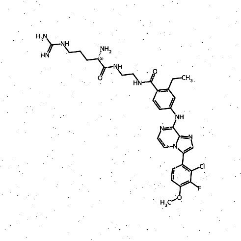 CCc1cc(Nc2nccn3c(-c4ccc(OC)c(F)c4Cl)cnc23)ccc1C(=O)NCCNC(=O)[C@@H](N)CCCNC(=N)N